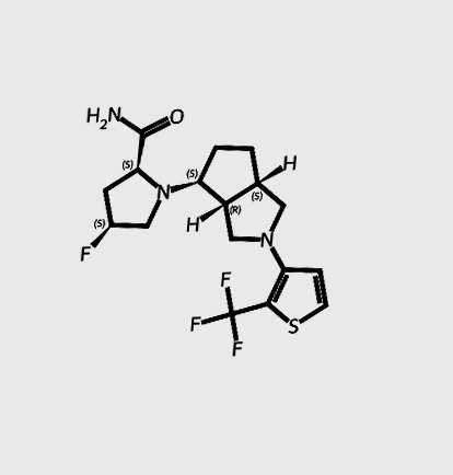 NC(=O)[C@@H]1C[C@H](F)CN1[C@H]1CC[C@@H]2CN(c3ccsc3C(F)(F)F)C[C@@H]21